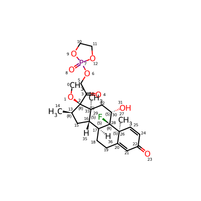 CO[C@]1(C(=O)COP2(=O)OCCO2)[C@H](C)C[C@H]2[C@@H]3CCC4=CC(=O)C=C[C@]4(C)[C@@]3(F)[C@@H](O)C[C@@]21C